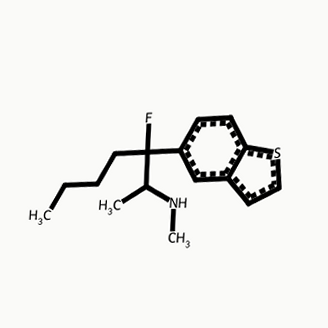 CCCCC(F)(c1ccc2sccc2c1)C(C)NC